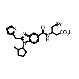 CC(C)CC(CC(=O)O)NC(=O)c1ccc2c(c1)nc(Cc1cccs1)n2[C@H]1CCCC1C